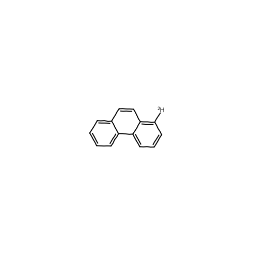 [2H]c1cccc2c1ccc1ccccc12